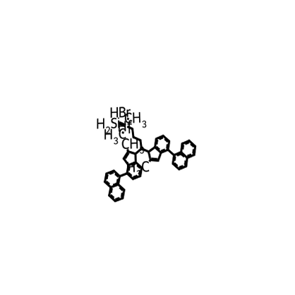 Br.CC1=Cc2c(-c3cccc4ccccc34)cccc2C1C(CC[CH2][Hf]([CH3])([CH3])=[SiH2])C1C(C)=Cc2c(-c3cccc4ccccc34)cccc21